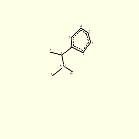 CC(c1cc[c]cc1)N(C)C